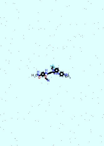 CNC(=O)c1ccc(NCC#Cc2cc3c(N[C@H]4CC[C@H](NC)CC4)cccc3n2CC(F)(F)F)c(OCC#N)c1